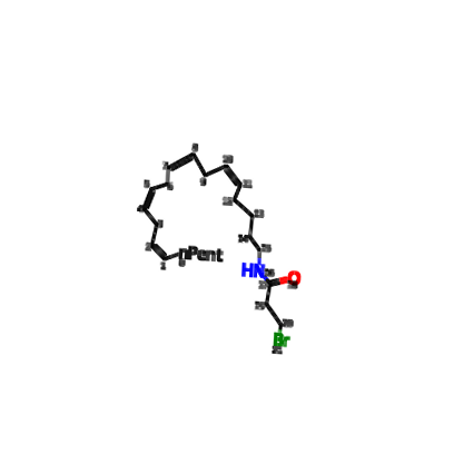 CCCCC/C=C\C/C=C\C/C=C\C/C=C\CCCCNC(=O)CCBr